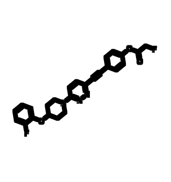 O=C(CF)Oc1ccc(C#Cc2ccc(N3CCC(Oc4ccccc4F)CC3)nn2)cc1